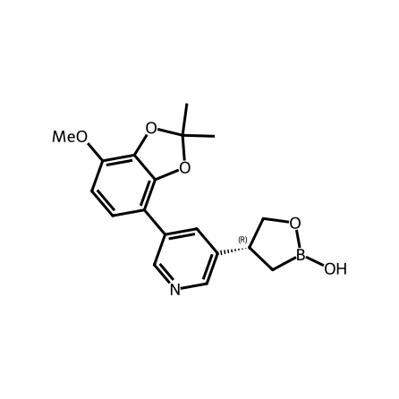 COc1ccc(-c2cncc([C@@H]3COB(O)C3)c2)c2c1OC(C)(C)O2